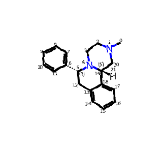 CN1CCN2[C@@H](c3ccccc3)Cc3ccccc3[C@H]2C1